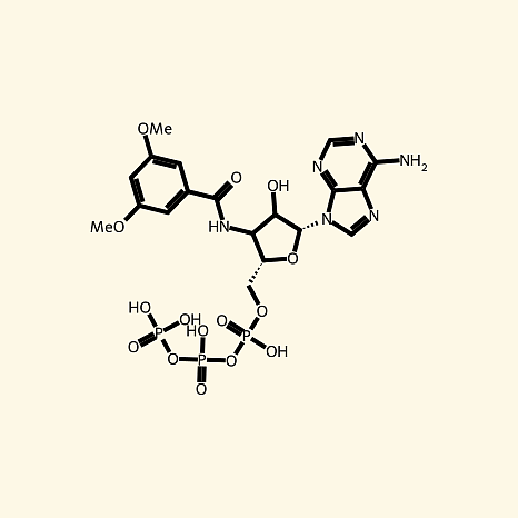 COc1cc(OC)cc(C(=O)NC2C(O)[C@H](n3cnc4c(N)ncnc43)O[C@@H]2COP(=O)(O)OP(=O)(O)OP(=O)(O)O)c1